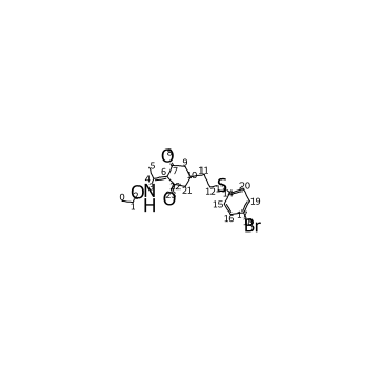 CCONC(C)=C1C(=O)CC(CCSc2ccc(Br)cc2)CC1=O